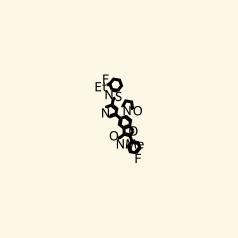 CCC1(F)CCCc2sc(-c3cncc(-c4cc5c(C(=O)NC)c(-c6ccc(F)cc6)oc5cc4N4CCCC4=O)c3)nc21